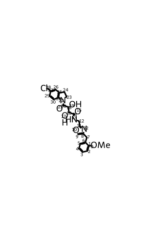 COc1ccccc1Cc1coc(CNC(=O)[C@H](O)[C@@H](O)C(=O)N2CCc3cc(Cl)ccc32)n1